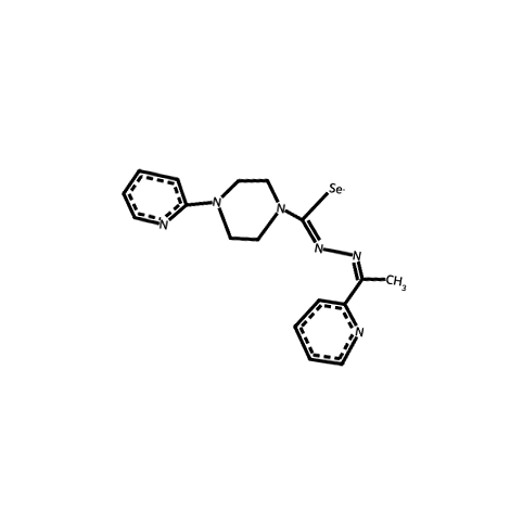 C/C(=N/N=C(\[Se])N1CCN(c2ccccn2)CC1)c1ccccn1